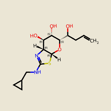 C=CCC(O)[C@@H]1O[C@@H]2SC(NCC3CC3)=N[C@@H]2[C@@H](O)[C@@H]1O